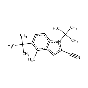 Cc1c(C(C)(C)C)ccc2c1cc(C#N)n2C(C)(C)C